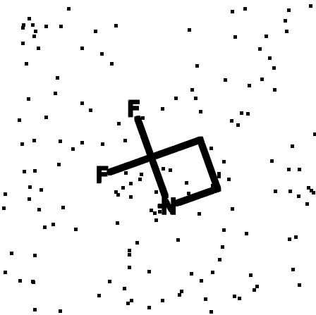 FC1(F)CC[N]1